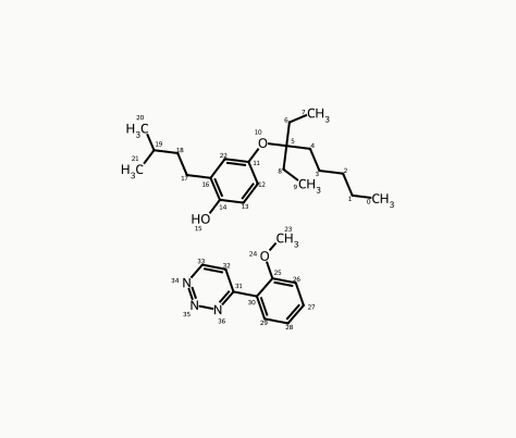 CCCCCC(CC)(CC)Oc1ccc(O)c(CCC(C)C)c1.COc1ccccc1-c1ccnnn1